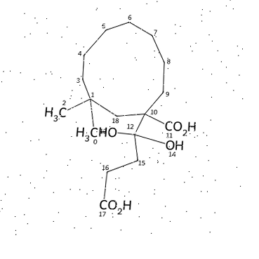 CC1(C)CCCCCCCC(C(=O)O)(C(O)(O)CCC(=O)O)C1